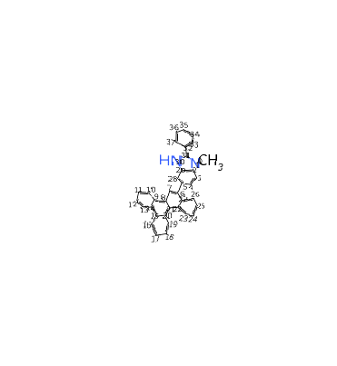 CN1c2ccc(-c3cc4c5ccccc5c5ccccc5c4c4ccccc34)cc2NC1c1ccccc1